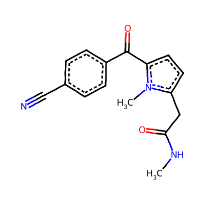 CNC(=O)Cc1ccc(C(=O)c2ccc(C#N)cc2)n1C